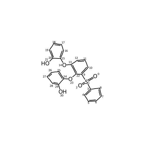 O=S(=O)(c1ccccc1)c1cccc(Oc2ccccc2O)c1Oc1ccccc1O